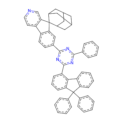 c1ccc(-c2nc(-c3ccc4c(c3)C3(c5cnccc5-4)C4CC5CC(C4)CC3C5)nc(-c3cccc4c3-c3ccccc3C4(c3ccccc3)c3ccccc3)n2)cc1